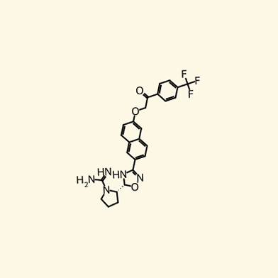 N=C(N)N1CCC[C@H]1C1NC(c2ccc3cc(OCC(=O)c4ccc(C(F)(F)F)cc4)ccc3c2)=NO1